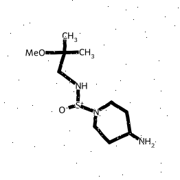 COC(C)(C)CN[S+]([O-])N1CCC(N)CC1